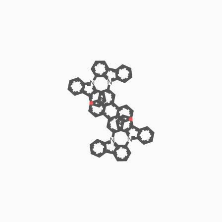 c1cc2cc(-n3c4ccccc4c4cccc(-n5c6ccccc6c6ccccc65)c43)cc3c4cccc5cc(-n6c7ccccc7c7cccc(-n8c9ccccc9c9ccccc98)c76)cc(c(c1)c23)c54